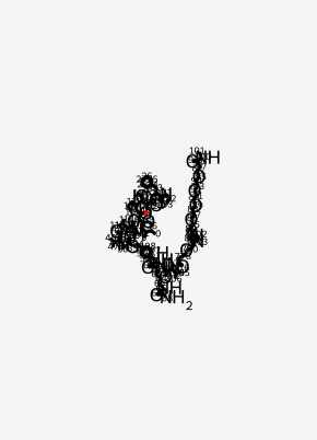 CCC(C)C(C(CC(=O)N1CCCC1C(OC)C(C)C(=O)NC(Cc1ccccc1)c1nccs1)OC)N(C)C(=O)C(NC(=O)C(C(C)C)N(C)C(=O)OCc1ccc(NC(=O)C(CCCNC(N)=O)NC(=O)C(NC(=O)CCOCc2cn(CCOCCOCCOCCOCCC(=O)NC)nn2)C(C)C)cc1)C(C)C